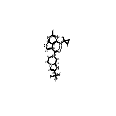 Cc1nc(NC2(C)CC2)c2c(C(=O)N3CCn4cc(C(F)(F)F)nc4C3)coc2n1